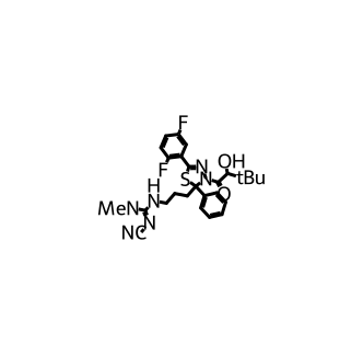 CNC(=NC#N)NCCCC1(c2ccccc2)SC(c2cc(F)ccc2F)=NN1C(=O)C(O)C(C)(C)C